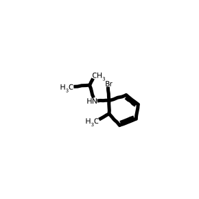 CC(C)NC1(Br)C=CC=CC1C